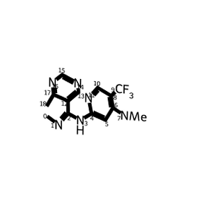 C/N=C(/Nc1cc(NC)c(C(F)(F)F)cn1)c1cncnc1C